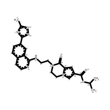 Cc1nc(-c2ccc3ccnc(NCCN4CCn5cc(C(=O)OC(C)C)cc5C4=O)c3c2)no1